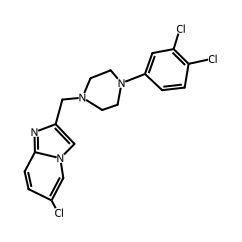 Clc1ccc2nc(CN3CCN(c4ccc(Cl)c(Cl)c4)CC3)cn2c1